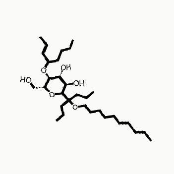 CCCCCCCCCCOC(CCC)(CCC)C1O[C@H](CO)[C@@H](OC(CCC)CCCC)[C@H](O)[C@H]1O